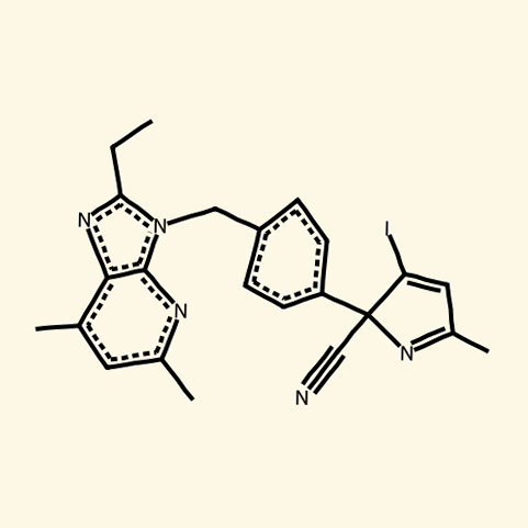 CCc1nc2c(C)cc(C)nc2n1Cc1ccc(C2(C#N)N=C(C)C=C2I)cc1